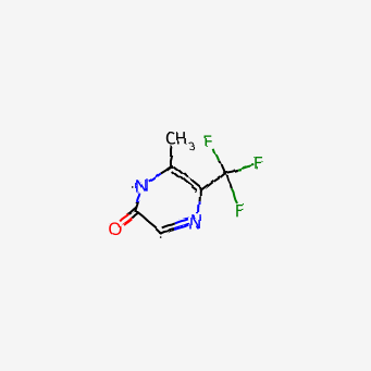 CC1=C(C(F)(F)F)N=[C]C(=O)[N]1